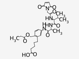 CCC(=O)OCc1ccc(NC(=O)[C@H](C)NC(=O)[C@@H](NC(=O)CN2C(=O)C=CC2=O)C(C)C)cc1CCCCC(=O)O